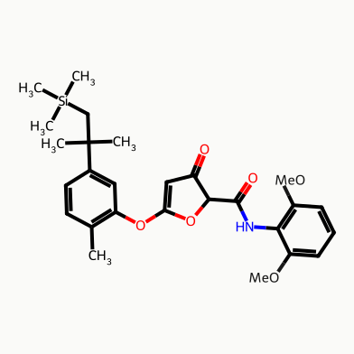 COc1cccc(OC)c1NC(=O)C1OC(Oc2cc(C(C)(C)C[Si](C)(C)C)ccc2C)=CC1=O